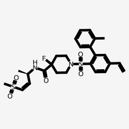 C=Cc1ccc(S(=O)(=O)N2CCC(F)(C(=O)N[C@H](C)/C=C\S(C)(=O)=O)CC2)c(-c2ccccc2C)c1